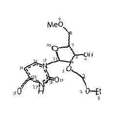 CCOCOC1C(O)C(COC)OC1n1ccc(=O)[nH]c1=O